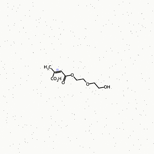 C/C(=C/C(=O)OCCOCCO)C(=O)O